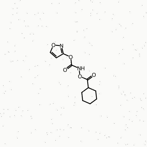 O=C(NOC(=O)C1CCCCC1)Oc1ccon1